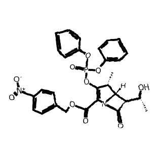 C[C@@H](O)[C@H]1C(=O)N2C(C(=O)OCc3ccc([N+](=O)[O-])cc3)=C(OP(=O)(Oc3ccccc3)Oc3ccccc3)[C@H](C)[C@H]12